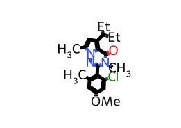 CCC(CC)c1cc(C)n2nc(-c3c(C)cc(OC)cc3Cl)n(C)c(=O)c12